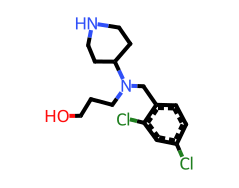 OCCCN(Cc1ccc(Cl)cc1Cl)C1CCNCC1